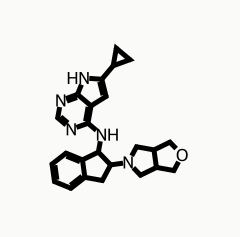 c1ccc2c(c1)CC(N1CC3COCC3C1)C2Nc1ncnc2[nH]c(C3CC3)cc12